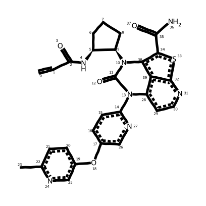 C=CC(=O)N[C@H]1CCC[C@H]1N1C(=O)N(c2ccc(Oc3ccc(C)nc3)cn2)c2ccnc3sc(C(N)=O)c1c23